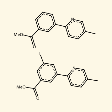 COC(=O)c1cc(I)cc(-c2ccc(C)cn2)c1.COC(=O)c1cccc(-c2ccc(C)cn2)c1